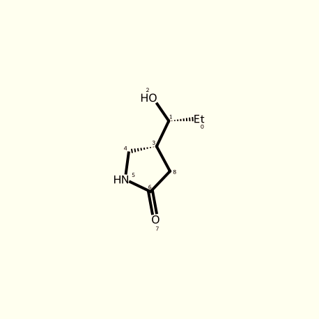 CC[C@@H](O)[C@H]1CNC(=O)C1